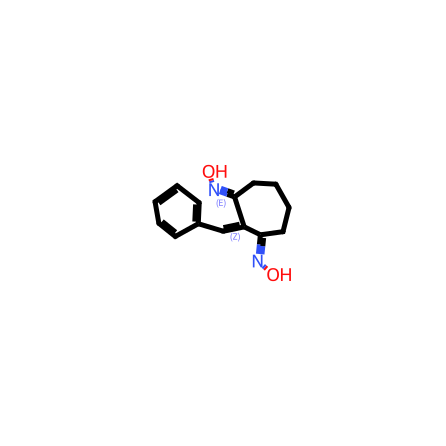 ON=C1CCCCC(=N\O)/C1=C\c1ccccc1